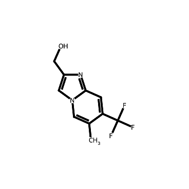 Cc1cn2cc(CO)nc2cc1C(F)(F)F